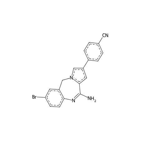 N#Cc1ccc(-c2cc3n(c2)Cc2cc(Br)ccc2N=C3N)cc1